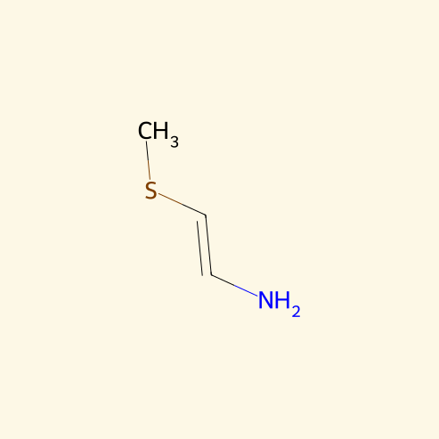 CS/C=C/N